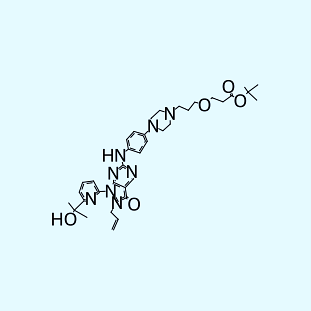 C=CCn1c(=O)c2cnc(Nc3ccc(N4CCN(CCCOCCC(=O)OC(C)(C)C)CC4)cc3)nc2n1-c1cccc(C(C)(C)O)n1